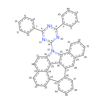 c1ccc(-c2nc(-c3ccccc3)nc(-n3c4ccc5cccc6c5c4c4c(cc5ccccc5c43)-c3ccccc3-6)n2)cc1